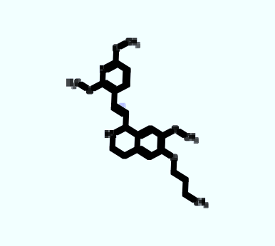 CCCCOc1cc2c(cc1OC)C(/C=C/c1ccc(OC)nc1OC)NCC2